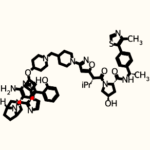 Cc1ncsc1-c1ccc([C@H](C)NC(=O)[C@@H]2C[C@@H](O)CN2C(=O)[C@@H](c2cc(N3CCC(CN4CCC(OC5CC(n6ccnc6CN6C7CC[C@@H]6CN(c6cc(-c8ccccc8O)nnc6N)C7)C5)CC4)CC3)no2)C(C)C)cc1